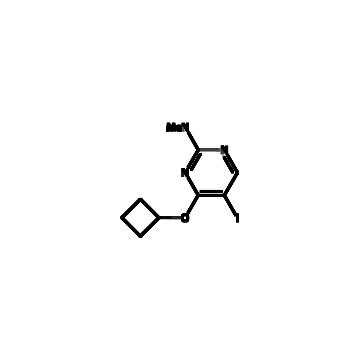 CNc1ncc(I)c(OC2CCC2)n1